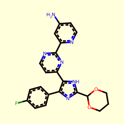 Nc1ccnc(-c2nccc(-c3[nH]c(C4OCCCO4)nc3-c3ccc(F)cc3)n2)c1